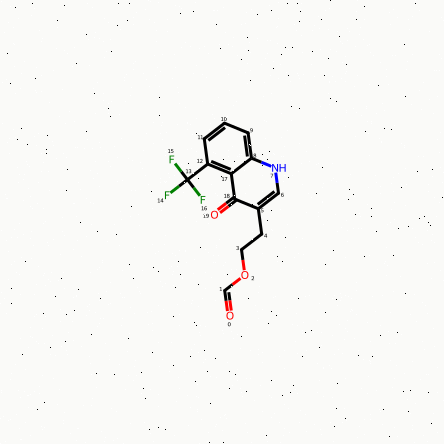 O=COCCc1c[nH]c2cccc(C(F)(F)F)c2c1=O